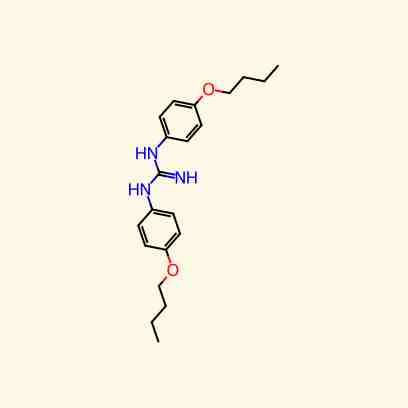 CCCCOc1ccc(NC(=N)Nc2ccc(OCCCC)cc2)cc1